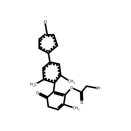 CC1=CCC(=O)C(c2c(C)cc(-c3ccc(Cl)cc3)cc2C)=C1OC(=O)CC(C)C